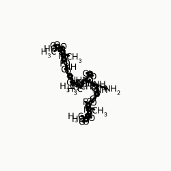 CCc1c2c(nc3cc(F)c(OCNC(=O)OCc4ccc(NC(=O)[C@H](C)NC(=O)[C@@H](NC(=O)CN(CCN5C(=O)C=CC5=O)CC(=O)NCC(=O)N[C@@H](CCCCN)C(=O)Nc5ccc(COC(=O)Oc6cc7c(CC)c8c(nc7cc6F)-c6cc7c(c(=O)n6C8)COC(=O)[C@]7(O)CC)cc5)C(C)C)cc4)cc13)-c1cc3c(c(=O)n1C2)COC(=O)[C@]3(O)CC